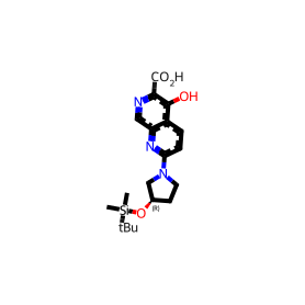 CC(C)(C)[Si](C)(C)O[C@@H]1CCN(c2ccc3c(O)c(C(=O)O)ncc3n2)C1